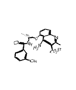 CCOC(=O)c1c(C)nc2cccc(OC[C@@H](C)NC(=O)c3cccc(O)c3)c2c1N